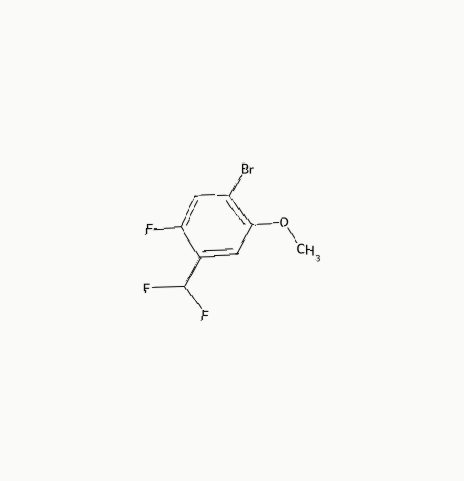 COc1cc(C(F)F)c(F)cc1Br